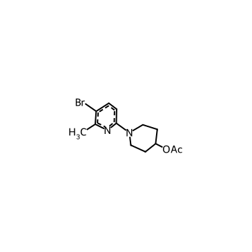 CC(=O)OC1CCN(c2ccc(Br)c(C)n2)CC1